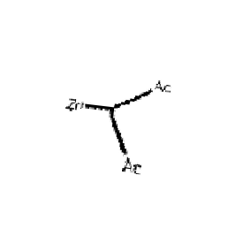 CC(=O)[CH]([Zn])C(C)=O